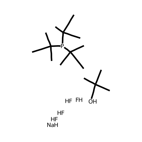 CC(C)(C)O.CC(C)(C)P(C(C)(C)C)C(C)(C)C.F.F.F.F.[NaH]